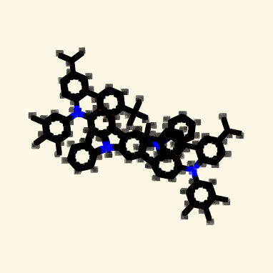 Cc1cc(N(c2ccc(C(C)C)cc2-c2ccc(C(C)(C)C)cc2)c2ccc3c4cc5c(cc4n4c6ccccc6c2c34)c2ccc(N(c3cc(C)c(C)c(C)c3)c3ccc(C(C)C)cc3-c3ccc(C(C)(C)C)cc3)c3c4ccccc4n5c23)cc(C)c1C